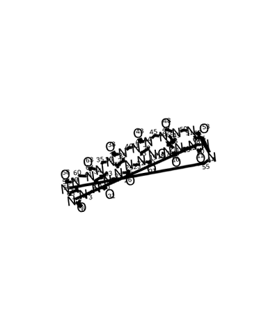 CC12N3CN4C(=O)N5CN6C(=O)N7CN8C(=O)N9CN%10C(=O)N%11CN%12C(=O)N%13CN(C3=O)C1(C)N1CN3C(=O)N(CN%14C(=O)N(CN%15C(=O)N(CN%16C(=O)N(CN%17C(=O)N(CN2C1=O)C4C5%17)C6C7%16)C8(C)C9%15C)C%10C%11%14)C%12C%133